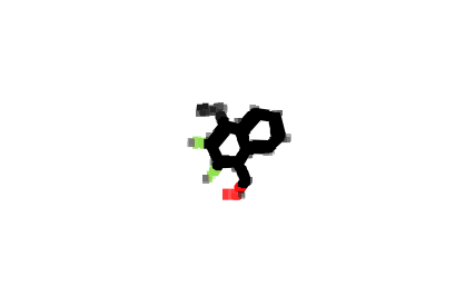 COc1c(F)c(F)c(CO)c2ccccc12